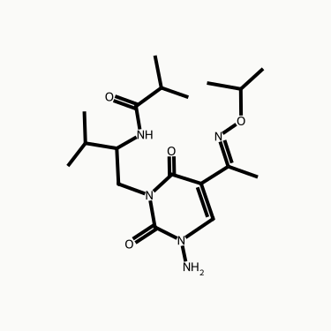 CC(=NOC(C)C)c1cn(N)c(=O)n(CC(NC(=O)C(C)C)C(C)C)c1=O